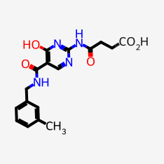 Cc1cccc(CNC(=O)c2cnc(NC(=O)CCC(=O)O)nc2O)c1